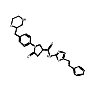 O=C(Nc1nnc(CCc2ccccc2)s1)C1CC(=O)N(c2ccc(CC3CNCCO3)cc2)C1